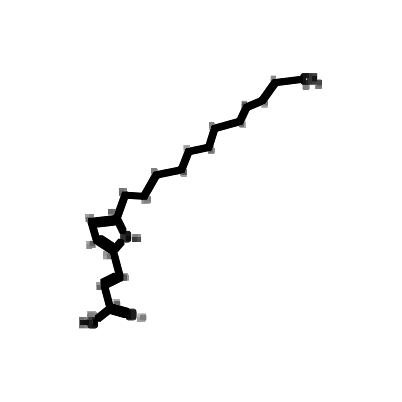 CCCCCCCCCCCCc1ccc(C=CC(=O)O)o1